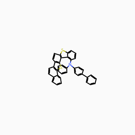 c1ccc(-c2ccc(N(c3ccccc3)c3cccc4sc5ccc6c7ccc8ccccc8c7sc6c5c34)cc2)cc1